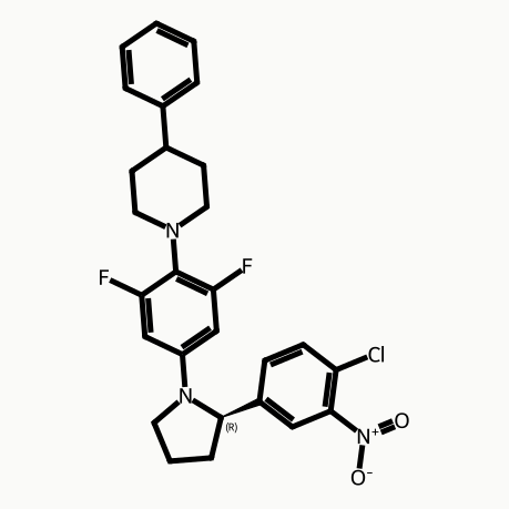 O=[N+]([O-])c1cc([C@H]2CCCN2c2cc(F)c(N3CCC(c4ccccc4)CC3)c(F)c2)ccc1Cl